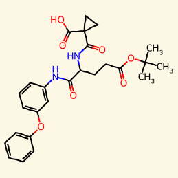 CC(C)(C)OC(=O)CCC(NC(=O)C1(C(=O)O)CC1)C(=O)Nc1cccc(Oc2ccccc2)c1